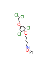 CC(C)O/N=C/CCCCOc1c(Cl)cc(OCC=C(Cl)Cl)cc1Cl